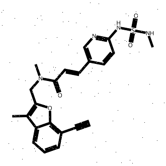 C#Cc1cccc2c(C)c(CN(C)C(=O)/C=C/c3ccc(NS(=O)(=O)NC)nc3)oc12